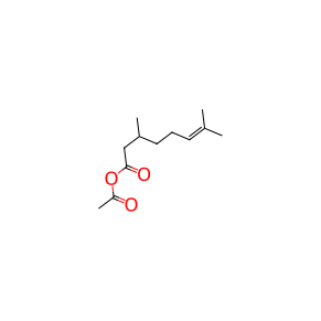 CC(=O)OC(=O)CC(C)CCC=C(C)C